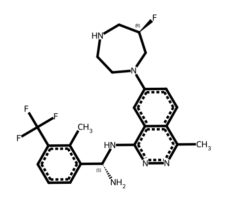 Cc1c([C@@H](N)Nc2nnc(C)c3ccc(N4CCNC[C@@H](F)C4)cc23)cccc1C(F)(F)F